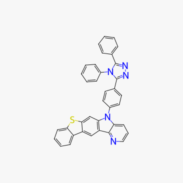 c1ccc(-c2nnc(-c3ccc(-n4c5cc6sc7ccccc7c6cc5c5ncccc54)cc3)n2-c2ccccc2)cc1